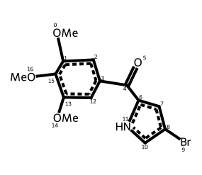 COc1cc(C(=O)c2cc(Br)c[nH]2)cc(OC)c1OC